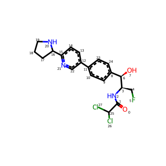 O=C(N[C@H](CF)[C@H](O)c1ccc(-c2ccc(C3CCCN3)nc2)cc1)C(Cl)Cl